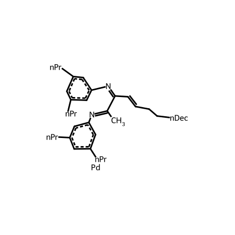 CCCCCCCCCCCCC=CC(=Nc1cc(CCC)cc(CCC)c1)C(C)=Nc1cc(CCC)cc(CCC)c1.[Pd]